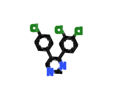 Clc1ccc(-c2cn[c]nc2-c2ccc(Cl)c(Cl)c2)cc1